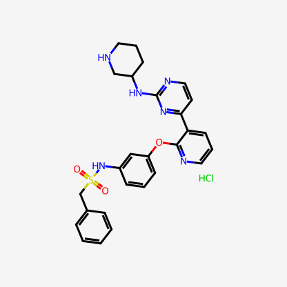 Cl.O=S(=O)(Cc1ccccc1)Nc1cccc(Oc2ncccc2-c2ccnc(NC3CCCNC3)n2)c1